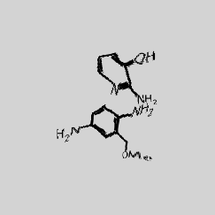 COCc1cc(N)ccc1N.Nc1ncccc1O